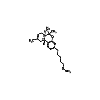 CC1=CC[C@@H]2[C@@H](C1)c1ccc(CCCCCO[N+](=O)[O-])cc1OC2(C)C